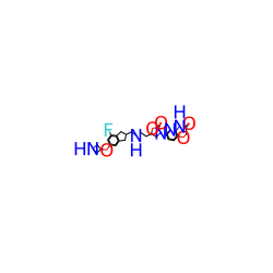 O=C1COc2ccc(N3CC(CCNCC4Cc5cc(OC6CNC6)cc(F)c5C4)OC3=O)nc2N1